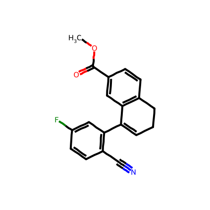 COC(=O)c1ccc2c(c1)C(c1cc(F)ccc1C#N)=CCC2